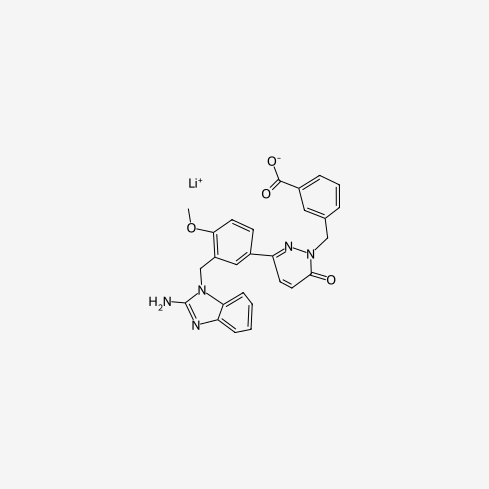 COc1ccc(-c2ccc(=O)n(Cc3cccc(C(=O)[O-])c3)n2)cc1Cn1c(N)nc2ccccc21.[Li+]